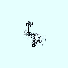 COC(=O)[C@H](C)NP(=O)(OCC1OC(n2cc(C#CCOP(=O)(N3CC3)N3CC3)c(=O)[nH]c2=O)C[C@@H]1O)Oc1ccccc1